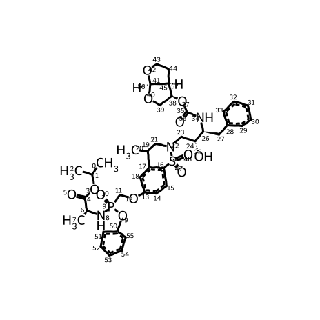 CC(C)OC(=O)[C@H](C)NP(=O)(COc1ccc2c(c1)C(C)CN(C[C@@H](O)[C@H](Cc1ccccc1)NC(=O)O[C@H]1CO[C@H]3OCC[C@H]31)S2(=O)=O)Oc1ccccc1